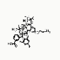 CCCO[C@@H]1C[C@H]([C@@H](O[Si](C)(C)C(C)(C)C)[C@H](Cc2cc(F)cc(F)c2)NC(=O)c2cccc(C(=O)O)c2)N(C(=O)OC(C)(C)C)C1